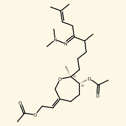 CC(=O)OCC=C1CC[C@@H](OC(C)=O)[C@](C)(CCCC(C)C(CC=C(C)C)=NN(C)C)OC1